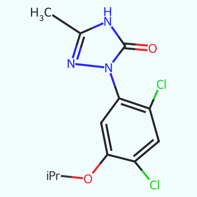 Cc1nn(-c2cc(OC(C)C)c(Cl)cc2Cl)c(=O)[nH]1